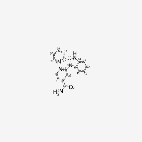 NC(=O)c1ccnc(N2c3ccccc3NC2c2ccccn2)c1